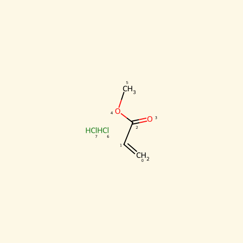 C=CC(=O)OC.Cl.Cl